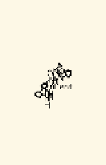 CCCCCc1nc2c(c(=O)n(CC3CC3)c(=O)n2C(C)c2ccccc2)n1Cc1ccc(-c2ccccc2-c2nnn[nH]2)cc1